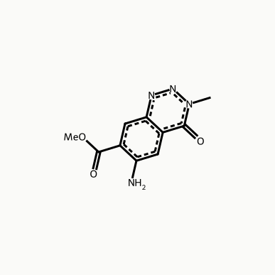 COC(=O)c1cc2nnn(C)c(=O)c2cc1N